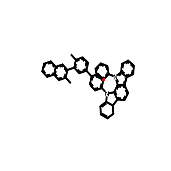 Cc1ccc(-c2ccc(N3C4=CC=CCC4c4ccc5c6ccccc6n(-c6ccccc6)c5c43)cc2)cc1-c1cc2ccccc2cc1C